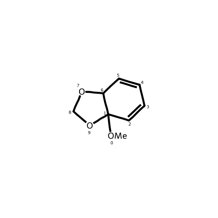 COC12C=CC=CC1OCO2